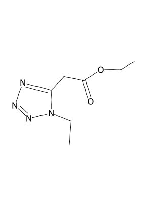 CCOC(=O)Cc1nnnn1CC